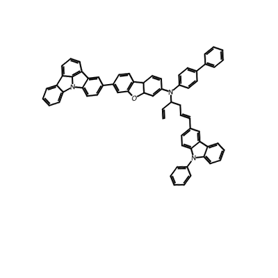 C=CC(C/C=C/c1ccc2c(c1)c1ccccc1n2-c1ccccc1)N(C1=CC2Oc3cc(-c4ccc5c(c4)c4cccc6c7ccccc7n5c64)ccc3C2C=C1)c1ccc(-c2ccccc2)cc1